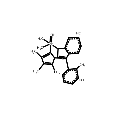 CC1=C(C)C(C)[C]([Zr]([CH3])([CH3])(=[SiH2])[CH]2C=C(c3ccccc3C)c3ccccc32)=C1C.Cl.Cl